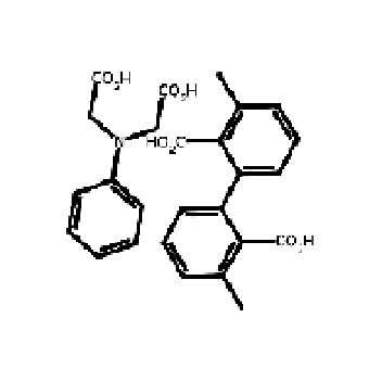 Cc1cccc(-c2cccc(C)c2C(=O)O)c1C(=O)O.O=C(O)CN(CC(=O)O)c1ccccc1